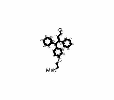 CNCCOc1ccc(C(C(=CCCl)c2ccccc2)c2ccccc2)cc1